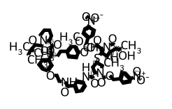 CCC(C)(C)C(=O)C(=O)N1CCCC[C@H]1C(=O)O[C@H](CCc1ccc(OC)c(OC)c1)c1cccc(OCCNC(=O)c2cccc(NC(=O)[C@@H]3C[C@H](SC4=C(C(=O)OCc5ccc([N+](=O)[O-])cc5)N5C(=O)[C@H]([C@@H](C)O)[C@H]5[C@H]4C)CN3C(=O)OCc3ccc([N+](=O)[O-])cc3)c2)c1